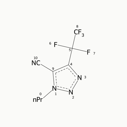 CCCn1nnc(C(F)(F)C(F)(F)F)c1C#N